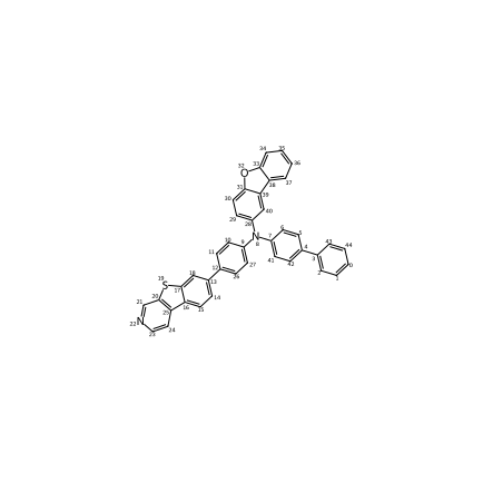 c1ccc(-c2ccc(N(c3ccc(-c4ccc5c(c4)sc4cnccc45)cc3)c3ccc4oc5ccccc5c4c3)cc2)cc1